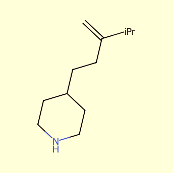 C=C(CCC1CCNCC1)C(C)C